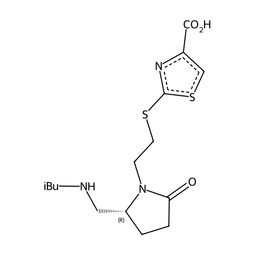 CCC(C)NC[C@H]1CCC(=O)N1CCSc1nc(C(=O)O)cs1